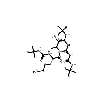 C[C@@H](C(=O)O)N(C(=O)[C@H](CCCN)NC(=O)OC(C)(C)C)/C(=N\C(=O)OC(C)(C)C)NC(=O)OC(C)(C)C